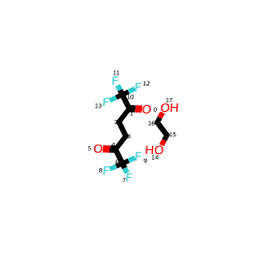 O=C(CCC(=O)C(F)(F)F)C(F)(F)F.OCCO